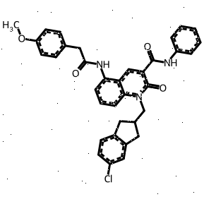 COc1ccc(CC(=O)Nc2cccc3c2cc(C(=O)Nc2ccccc2)c(=O)n3CC2Cc3ccc(Cl)cc3C2)cc1